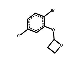 Clc1ccc(Br)c(OC2CCO2)c1